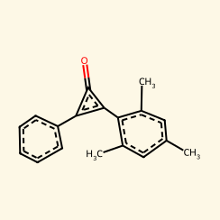 Cc1cc(C)c(-c2c(-c3ccccc3)c2=O)c(C)c1